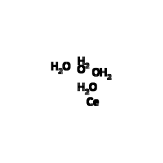 O.O.O.O.[Ce]